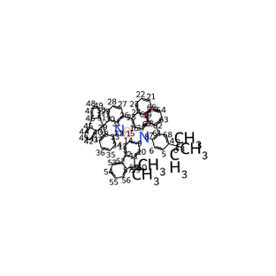 CC(C)(C)c1ccc(N2c3cc4c(cc3B3c5c2cc2ccccc2c5-c2cccc5c2N3c2ccccc2C52c3ccccc3-c3ccccc32)-c2ccccc2C4(C)C)c(-c2ccccc2)c1